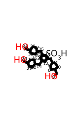 O=S(=O)(O)c1c(CC2CCC(CO)CC2)cc(CC2CCC(CO)CC2)cc1CC1CCC(CO)CC1